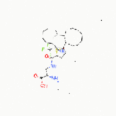 N[C@H](CNC(=O)C1CC2NCCC3(C(F)(F)F)C4CCCCCC(C4)C4CCCCCCCC4C23S1)C(=O)O